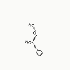 C#CCOCC#CC(O)C#Cc1ccccc1